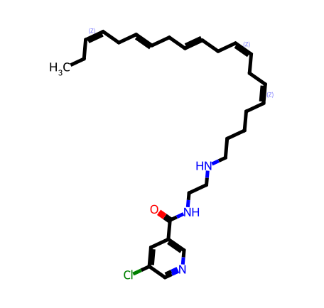 CC/C=C\CC=CCC=CC/C=C\C/C=C\CCCCNCCNC(=O)c1cncc(Cl)c1